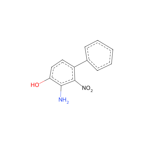 Nc1c(O)ccc(-c2ccccc2)c1[N+](=O)[O-]